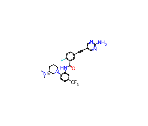 CN(C)[C@@H]1CCCN(c2ccc(C(F)(F)F)cc2NC(=O)c2cc(C#Cc3cnc(N)nc3)ccc2F)C1